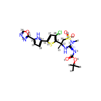 CN1/C(=N/C(=O)OC(C)(C)C)N[C@](C)(c2sc(-c3ccc(-c4nnco4)[nH]3)cc2Cl)CS1(=O)=O